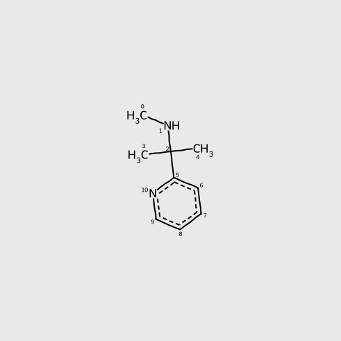 CNC(C)(C)c1ccccn1